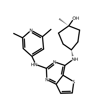 Cc1cc(Nc2nc(N[C@H]3CC[C@](C)(O)CC3)c3sccc3n2)cc(C)n1